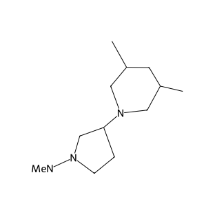 CNN1CCC(N2CC(C)CC(C)C2)C1